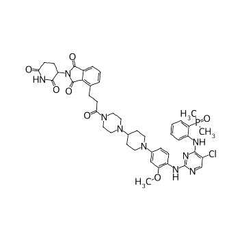 COc1cc(N2CCC(N3CCN(C(=O)CCc4cccc5c4C(=O)N(C4CCC(=O)NC4=O)C5=O)CC3)CC2)ccc1Nc1ncc(Cl)c(Nc2ccccc2P(C)(C)=O)n1